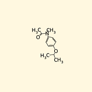 CC(=O)N(C)c1ccc(OC(C)C)cc1